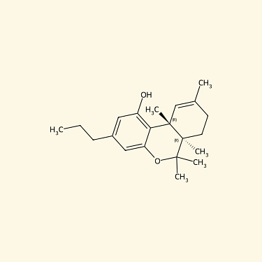 CCCc1cc(O)c2c(c1)OC(C)(C)[C@]1(C)CCC(C)=C[C@@]21C